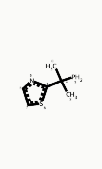 CC(C)(P)c1nccs1